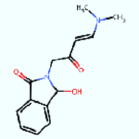 CN(C)/C=C/C(=O)CN1C(=O)c2ccccc2C1O